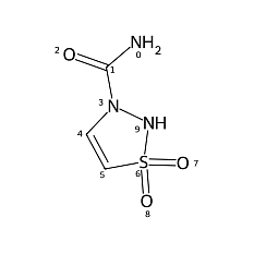 NC(=O)N1C=CS(=O)(=O)N1